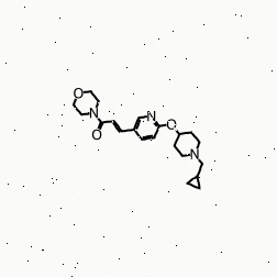 O=C(C=Cc1ccc(OC2CCN(CC3CC3)CC2)nc1)N1CCOCC1